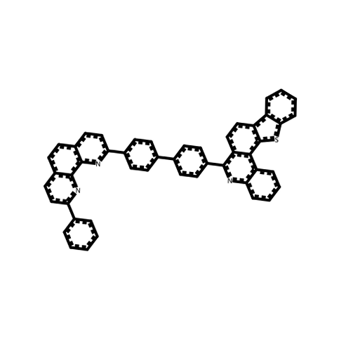 c1ccc(-c2ccc3ccc4ccc(-c5ccc(-c6ccc(-c7nc8ccccc8c8c7ccc7c9ccccc9sc78)cc6)cc5)nc4c3n2)cc1